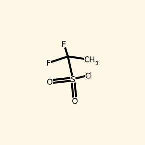 CC(F)(F)S(=O)(=O)Cl